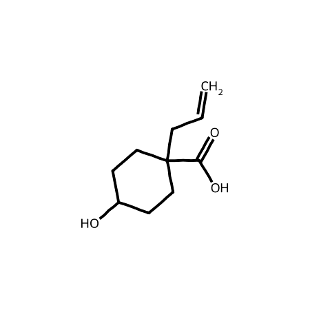 C=CCC1(C(=O)O)CCC(O)CC1